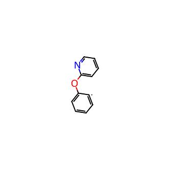 [c]1ccccc1Oc1ccccn1